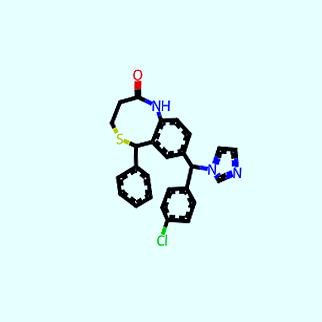 O=C1CCSC(c2ccccc2)c2cc(C(c3ccc(Cl)cc3)n3ccnc3)ccc2N1